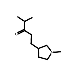 CC(C)C(=O)CCC1CCN(C)C1